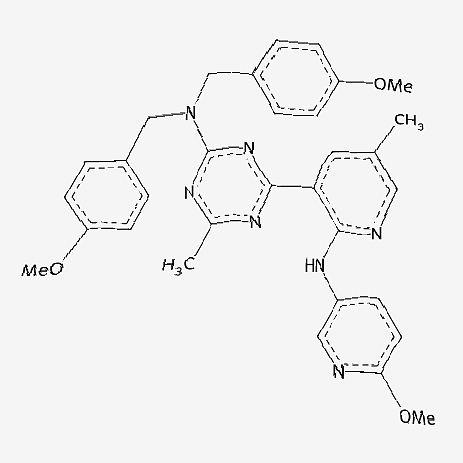 COc1ccc(CN(Cc2ccc(OC)cc2)c2nc(C)nc(-c3cc(C)cnc3Nc3ccc(OC)nc3)n2)cc1